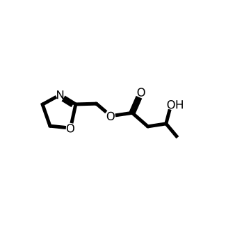 CC(O)CC(=O)OCC1=NCCO1